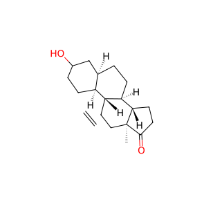 C=C.C[C@]12CC[C@H]3[C@@H](CC[C@@H]4CC(O)CC[C@@H]43)[C@@H]1CCC2=O